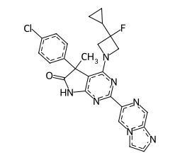 CC1(c2ccc(Cl)cc2)C(=O)Nc2nc(-c3cn4ccnc4cn3)nc(N3CC(F)(C4CC4)C3)c21